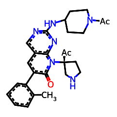 CC(=O)N1CCC(Nc2ncc3cc(-c4ccccc4C)c(=O)n([C@]4(C(C)=O)CCNC4)c3n2)CC1